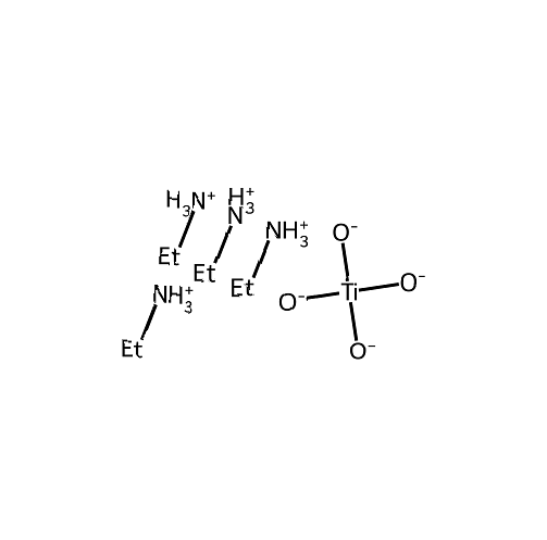 CC[NH3+].CC[NH3+].CC[NH3+].CC[NH3+].[O-][Ti]([O-])([O-])[O-]